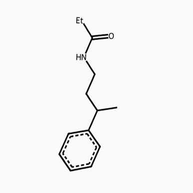 CCC(=O)NCCC(C)c1ccccc1